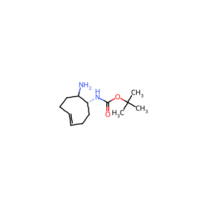 CC(C)(C)OC(=O)N[C@@H]1CC/C=C/CCC1N